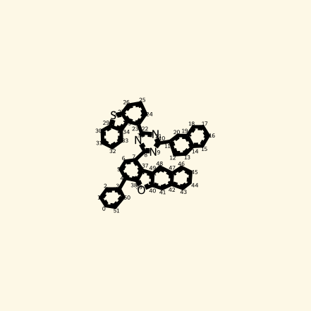 c1ccc(-c2ccc(-c3nc(-c4ccc5ccccc5c4)nc(-c4cccc5sc6ccccc6c45)n3)c3c2oc2cc4ccccc4cc23)cc1